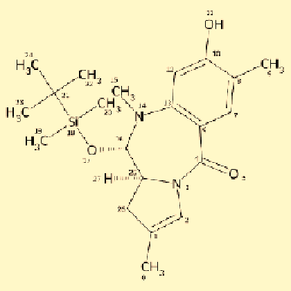 CC1=CN2C(=O)c3cc(C)c(O)cc3N(C)[C@@H](O[Si](C)(C)C(C)(C)C)[C@@H]2C1